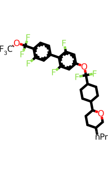 CCCC1CCC(C2CCC(C(F)(F)Oc3cc(F)c(-c4ccc(C(F)(F)OC(F)(F)F)c(F)c4)c(F)c3)CC2)OC1